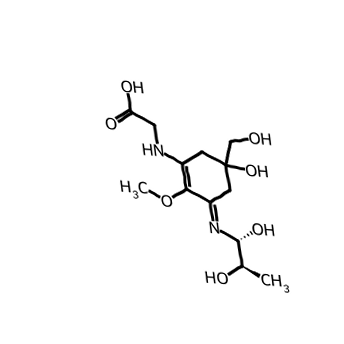 COC1=C(NCC(=O)O)CC(O)(CO)C/C1=N\[C@H](O)[C@@H](C)O